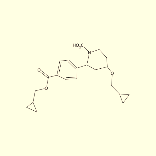 O=C(OCC1CC1)c1ccc(C2CC(OCC3CC3)CCN2C(=O)O)cc1